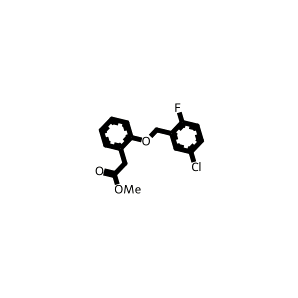 COC(=O)Cc1ccccc1OCc1cc(Cl)ccc1F